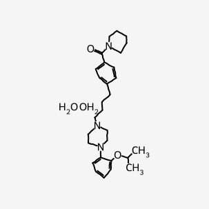 CC(C)Oc1ccccc1N1CCN(CCCCc2ccc(C(=O)N3CCCCC3)cc2)CC1.O.O